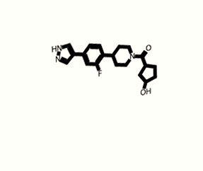 O=C(C1CCC(O)C1)N1CCC(c2ccc(-c3cn[nH]c3)cc2F)CC1